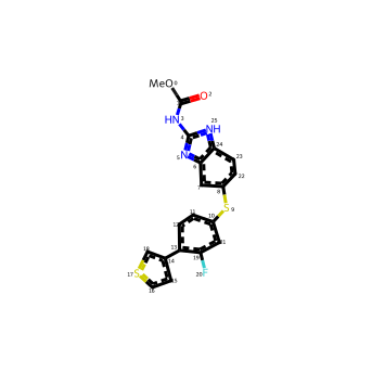 COC(=O)Nc1nc2cc(Sc3ccc(-c4ccsc4)c(F)c3)ccc2[nH]1